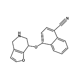 N#Cc1ccc(OC2CNCc3ccoc32)c2ccccc12